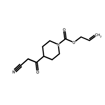 C=CCOC(=O)N1CCC(C(=O)CC#N)CC1